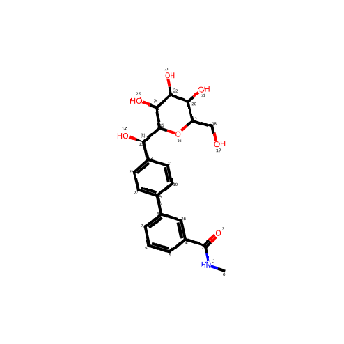 CNC(=O)c1cccc(-c2ccc([C@@H](O)C3OC(CO)C(O)C(O)C3O)cc2)c1